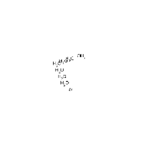 O.O.O.O.O.O.O.[Zr]